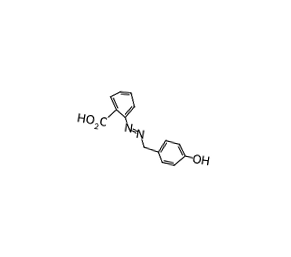 O=C(O)c1ccccc1N=NCc1ccc(O)cc1